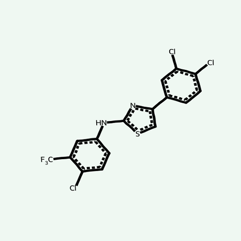 FC(F)(F)c1cc(Nc2nc(-c3ccc(Cl)c(Cl)c3)cs2)ccc1Cl